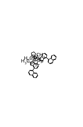 CC1=Cc2c(-c3cccc4ccccc34)cccc2[CH]1[Zr]([CH3])([CH3])[Si]1([Zr]([CH3])([CH3])[CH]2C(C)=Cc3c(-c4cccc5ccccc45)cccc32)CCCC1